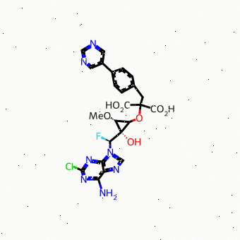 CO[C@@H]1C(OC(Cc2ccc(-c3cncnc3)cc2)(C(=O)O)C(=O)O)[C@@]1(O)[C@H](F)n1cnc2c(N)nc(Cl)nc21